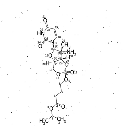 CC(C)OC(=O)CCCO[P@@]1(=O)OC[C@H]2O[C@@H](n3ccc(=O)[nH]c3=O)[C@](C)(N)[C@@H]2O1